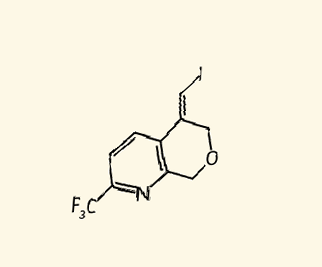 FC(F)(F)c1ccc2c(n1)COCC2=CI